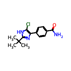 CC(C)(C)c1nc(-c2ccc(C(N)=O)cc2)c(Cl)[nH]1